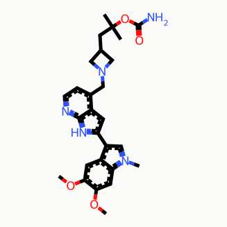 COc1cc2c(-c3cc4c(CN5CC(CC(C)(C)OC(N)=O)C5)ccnc4[nH]3)cn(C)c2cc1OC